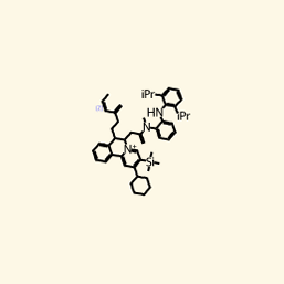 C=C(/C=C\C)CCC1c2ccccc2-c2cc(C3CCCCC3)c([Si](C)(C)C)c[n+]2C1CC(=C)N(C)c1ccccc1Nc1c(C(C)C)cccc1C(C)C